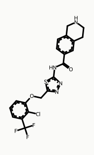 O=C(Nc1nnc(COc2cccc(C(F)(F)F)c2Cl)s1)c1ccc2c(c1)CCNC2